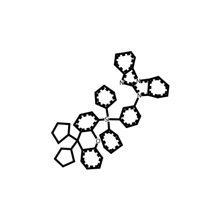 c1ccc([Si](c2ccccc2)(c2cccc(-n3c4ccccc4n4c5ccccc5nc34)c2)c2cccc3c2Oc2ccccc2C3(C2CCCC2)C2CCCC2)cc1